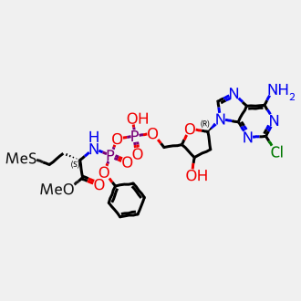 COC(=O)[C@H](CCSC)NP(=O)(Oc1ccccc1)OP(=O)(O)OCC1O[C@@H](n2cnc3c(N)nc(Cl)nc32)CC1O